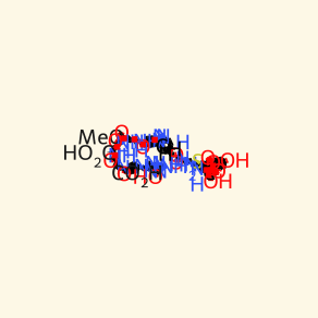 COC(=O)[C@H](CCCCNC(=O)c1ccc(-n2nnc3c2CC[C@@H]2[C@H](CC3)[C@@H]2COC(=O)NCCNC(=S)Nc2ccc3c(c2)C(=O)OC32c3ccc(O)cc3Oc3cc(O)ccc32)cc1)NC(=O)CC[C@H](NC(=O)CC[C@H](NC(=O)c1ccc(NCc2cnc3nc(N)nc(O)c3n2)cc1)C(=O)O)C(=O)O